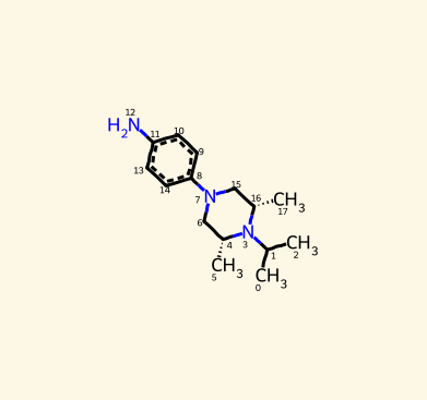 CC(C)N1[C@H](C)CN(c2ccc(N)cc2)C[C@@H]1C